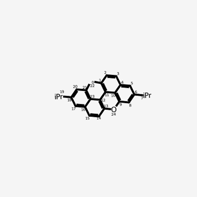 Cc1ccc2cc(C(C)C)cc3c2c1-c1c(ccc2cc(C(C)C)cc(C)c12)O3